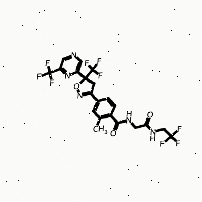 Cc1cc(C2=NOC(c3cncc(C(F)(F)F)n3)(C(F)(F)F)C2)ccc1C(=O)NCC(=O)NCC(F)(F)F